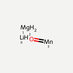 [LiH].[MgH2].[O]=[Mn]